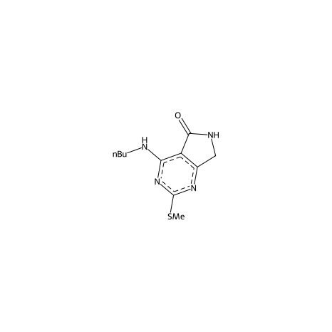 CCCCNc1nc(SC)nc2c1C(=O)NC2